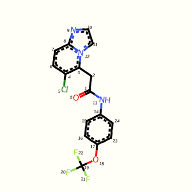 O=C(Cc1c(Cl)ccc2nccn12)Nc1ccc(OC(F)(F)F)cc1